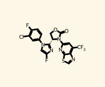 O=C1OC[C@@H](c2nc(F)cn2-c2ccc(F)c(Cl)c2)N1c1cc(C(F)(F)F)c2ncsc2n1